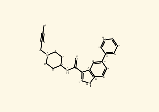 CC#CCN1CCC(NC(=O)c2n[nH]c3ccc(-c4cccnc4)cc23)CC1